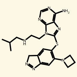 CC(C)CNCCn1c(Sc2cc3c(cc2N2CCC2)N=NC3)nc2c(N)ncnc21